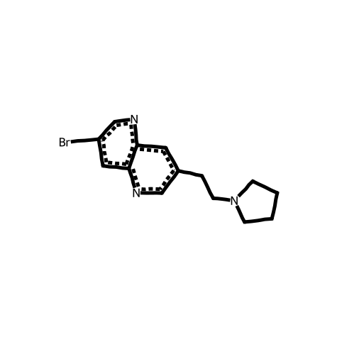 Brc1cnc2cc(CCN3CCCC3)cnc2c1